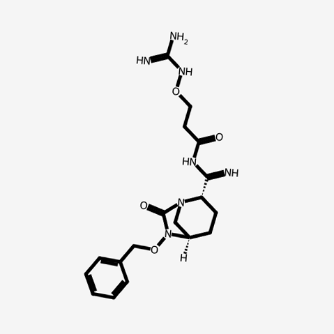 N=C(N)NOCCC(=O)NC(=N)[C@@H]1CC[C@@H]2CN1C(=O)N2OCc1ccccc1